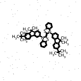 CC(C)(C)c1ccc2c(c1)C(C)(C)c1ccc(N3/C(=C4\Sc5ccccc5N4c4ccc5c(c4)-c4ccc(C(C)(C)C)cc4C5(C)C)Sc4ccccc43)cc1-2